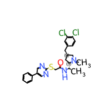 CC(NC(=O)CSc1ncc(-c2ccccc2)cn1)[C@@H]1C[C@@H](Cc2ccc(Cl)c(Cl)c2)CN1C